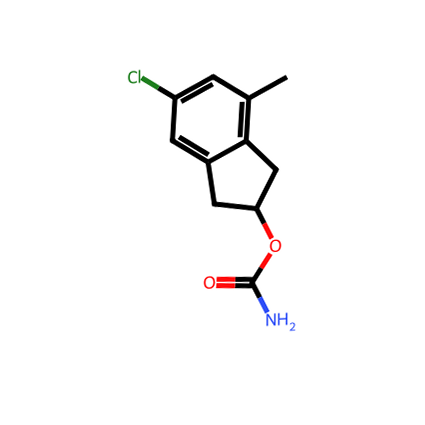 Cc1cc(Cl)cc2c1CC(OC(N)=O)C2